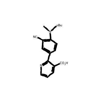 CCCCN(C)c1ccc(-c2ncccc2C(=O)O)cc1C#N